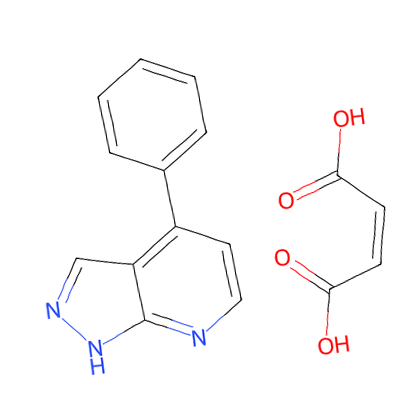 O=C(O)/C=C\C(=O)O.c1ccc(-c2ccnc3[nH]ncc23)cc1